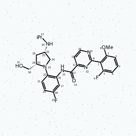 COc1cccc(F)c1-c1nccc(C(=O)Nc2cc(F)ccc2N2C[C@@H](NC(C)C)C[C@H]2CO)n1